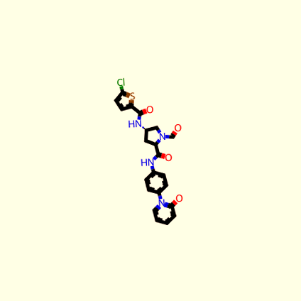 O=CN1C[C@@H](NC(=O)c2ccc(Cl)s2)CC1C(=O)Nc1ccc(-n2ccccc2=O)cc1